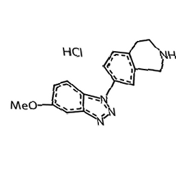 COc1ccc2c(c1)nnn2-c1ccc2c(c1)CNCC2.Cl